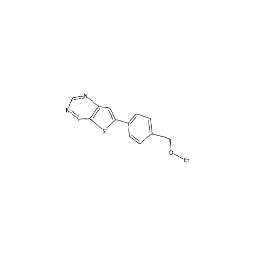 CCOCc1ccc(-c2cc3ncn[c]c3s2)cc1